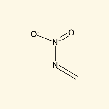 C=N[N+](=O)[O-]